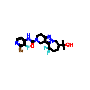 CC(C)(O)C1CCC(F)(F)c2c3c(nn2C1)CCN(C(=O)Nc1ccnc(Br)c1F)C3